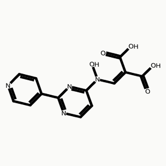 O=C(O)C(=CN(O)c1ccnc(-c2ccncc2)n1)C(=O)O